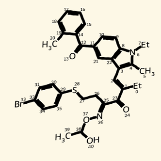 CC/C(=C\c1c(C)n(CC)c2ccc(C(=O)c3ccccc3C)cc12)C(=O)/C(CCSc1ccc(Br)cc1)=N/OC(C)O